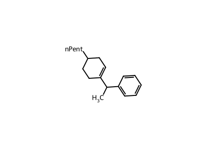 CCCCCC1CC=C(C(C)c2ccccc2)CC1